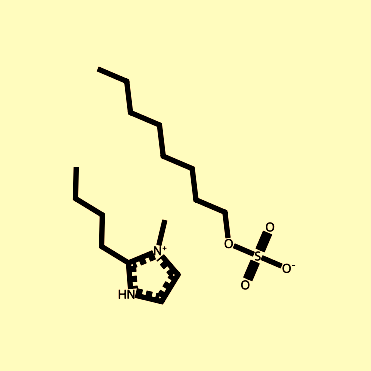 CCCCCCCCOS(=O)(=O)[O-].CCCCc1[nH]cc[n+]1C